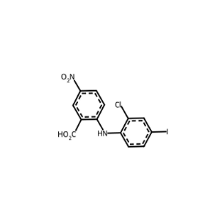 O=C(O)c1cc([N+](=O)[O-])ccc1Nc1ccc(I)cc1Cl